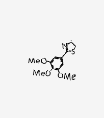 COc1cc(C2=N[CH]CS2)cc(OC)c1OC